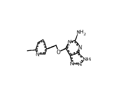 Cc1ccc(COc2nc(N)nc3[nH]nnc23)cn1